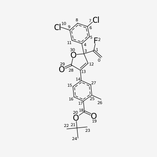 C=C(F)C1(c2cc(Cl)cc(Cl)c2)C=C(c2ccc(C(=O)OC(C)(C)C)c(C)c2)C(=O)O1